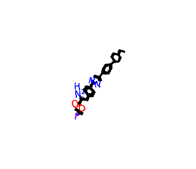 CCC1CCC(c2ccc(-c3cnc(-c4ccc(C[C@H](N)C(=O)OC(C)(C)I)cc4)nc3)cc2)CC1